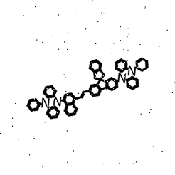 C1=CCC(N2c3ccccc3N(c3ccc4c(c3)C3(Cc5ccccc5C3)c3cc(/C=C/c5ccc(N6c7ccccc7N(c7ccccc7)c7ccccc76)c6ccccc56)ccc3-4)c3ccccc32)C=C1